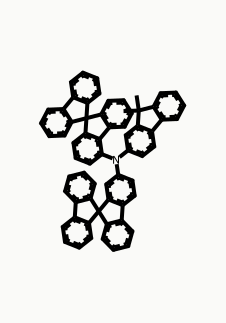 CC1(C)c2ccccc2-c2ccc(N(c3ccc4c(c3)C3(c5ccccc5-c5ccccc53)c3ccccc3-4)c3cccc4c3-c3ccccc3C43c4ccccc4-c4ccccc43)cc21